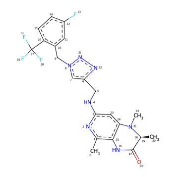 Cc1nc(NCc2cn(Cc3cc(F)ccc3C(F)(F)F)nn2)cc2c1NC(=O)[C@H](C)N2C